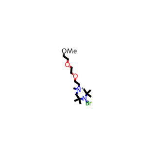 COCCOCCOCC[N+]1(C)CC(C)(C)N(Br)C(C)(C)C1